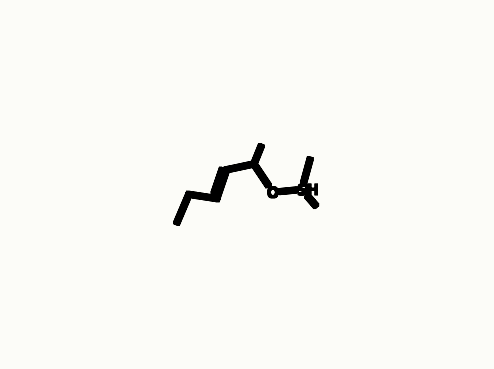 CCC=CC(C)O[SiH](C)C